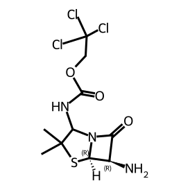 CC1(C)S[C@@H]2[C@H](N)C(=O)N2C1NC(=O)OCC(Cl)(Cl)Cl